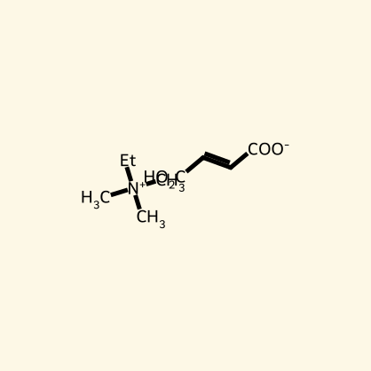 CC[N+](C)(C)C.O=C([O-])C=CC(=O)O